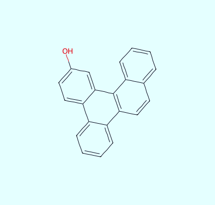 Oc1ccc2c3ccccc3c3ccc4ccccc4c3c2c1